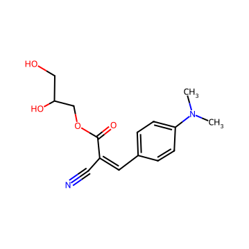 CN(C)c1ccc(C=C(C#N)C(=O)OCC(O)CO)cc1